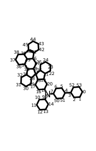 C1CCC(C2CCC(N(C3CCCCC3)C3CCC4C(C3)C3CCCCC3C43C4CCCCC4C4C5CCCC6C7=C(CCCC7)C(CC43)C65)CC2)CC1